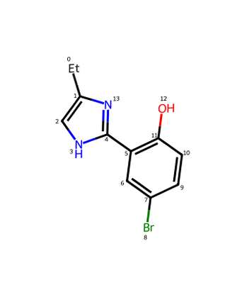 CCc1c[nH]c(-c2cc(Br)ccc2O)n1